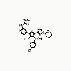 COC(=O)Nc1cc(-c2sc(-c3ncn(C4CCCCO4)n3)c(C(O)c3ccc(Cl)cc3)c2N)ccn1